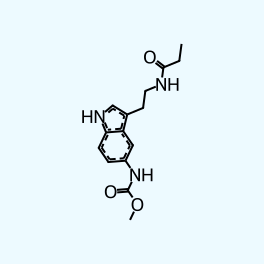 CCC(=O)NCCc1c[nH]c2ccc(NC(=O)OC)cc12